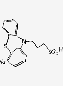 O=S(=O)(O)CCCN1c2ccccc2Sc2ccccc21.[Na]